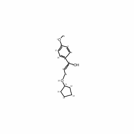 COc1ccc(C(O)=CCOC2CCCC2)cc1